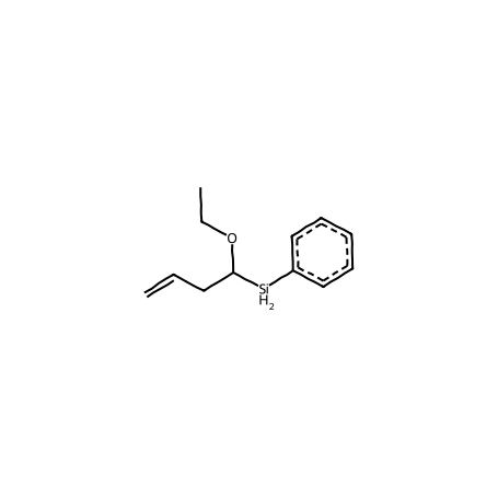 C=CCC(OCC)[SiH2]c1ccccc1